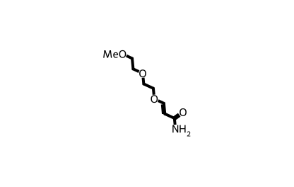 COCCOCCOC=CC(N)=O